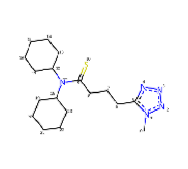 Cn1nnnc1CCCC(=S)N(C1CCCCC1)C1CCCCC1